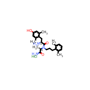 Cc1cccc(C)c1CCCN(C(=O)[C@@H](N)Cc1c(C)cc(O)cc1C)[C@H](C)C(N)=O.Cl